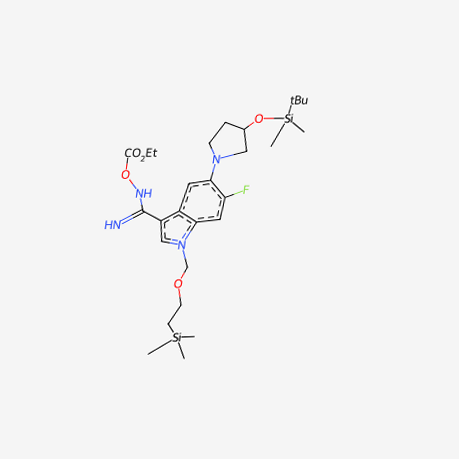 CCOC(=O)ONC(=N)c1cn(COCC[Si](C)(C)C)c2cc(F)c(N3CCC(O[Si](C)(C)C(C)(C)C)C3)cc12